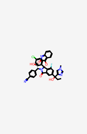 CCC(O)(c1cc(F)c2c(c1)C(=O)N([C@@H](CO)c1ccc(C#N)cc1)[C@@]2(OC1=c2ccccc2=NC1=O)c1ccc(Cl)cc1)c1cn(C)cn1